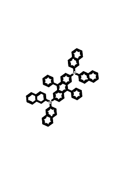 C1=CC2=CC=C(N(c3ccc4ccccc4c3)c3ccc4c(-c5ccccc5)c5cc(N(c6ccc7ccccc7c6)c6ccc7ccccc7c6)ccc5c(-c5ccccc5)c4c3)CC2C=C1